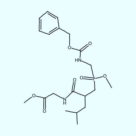 COC(=O)CNC(=O)C(CC(C)C)CP(=O)(CNC(=O)OCc1ccccc1)OC